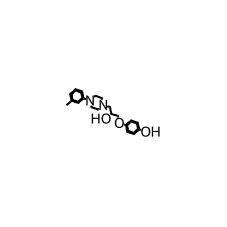 Cc1cccc(N2CCN(C[C@@H](O)COc3ccc(O)cc3)CC2)c1